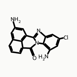 Nc1cc2cccc3c(=O)n4c(nc5cc(Cl)cc(N)c54)c(c1)c23